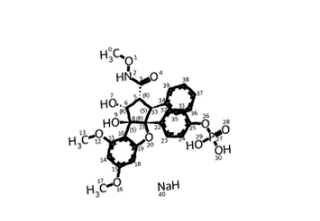 CONC(=O)[C@H]1[C@@H](O)[C@@]2(O)c3c(OC)cc(OC)cc3O[C@@]2(c2ccc(OP(=O)(O)O)cc2)[C@@H]1c1ccccc1.[NaH]